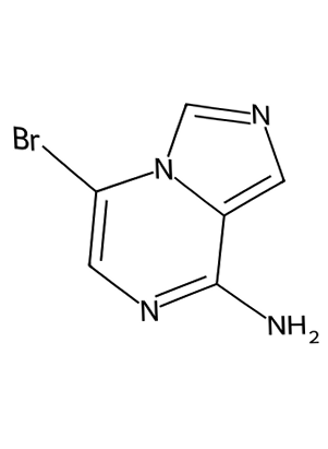 Nc1ncc(Br)n2cncc12